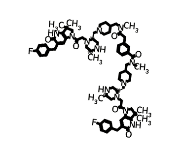 C[C@@H]1CN(CC(=O)N2CC(C)(C)c3[nH]c(=O)c(Cc4ccc(F)cc4)cc32)[C@@H](CN2CCC(CN(C)C(=O)Cc3cccc(C(=O)N(C)CC4CCN(C[C@H]5CN[C@H](C)CN5CC(=O)N5CC(C)(C)c6[nH]c(=O)c(Cc7ccc(F)cc7)cc65)CC4)c3)CC2)CN1